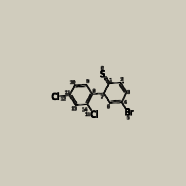 S=C1[C]=CC(Br)=CC1c1ccc(Cl)cc1Cl